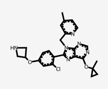 Cc1ccnc(Cn2c(-c3ccc(OC4CNC4)cc3Cl)nc3c(OC4(C)CC4)ncnc32)c1